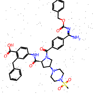 CS(=O)(=O)N1CCN([C@H]2C[C@@H](C(=O)Nc3ccc(C(=O)O)c(Cc4ccccc4)c3)N(C(=O)c3ccc(/C(N)=N\C(=O)OCc4ccccc4)cc3)C2)CC1